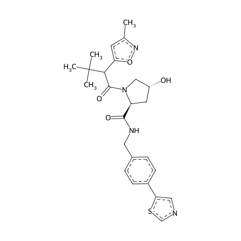 Cc1cc(C(C(=O)N2C[C@H](O)C[C@H]2C(=O)NCc2ccc(-c3cncs3)cc2)C(C)(C)C)on1